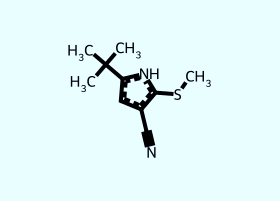 CSc1[nH]c(C(C)(C)C)cc1C#N